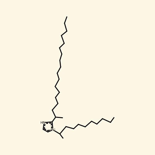 CCCCCCCCCCCCCCCCC(C)c1[nH]cc[n+]1C(C)CCCCCCCCC